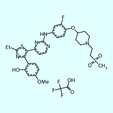 CCc1nc(-c2ccc(OC)cc2O)c(-c2ccnc(Nc3ccc(OC4CCN(CCS(C)(=O)=O)CC4)c(F)c3)n2)s1.O=C(O)C(F)(F)F